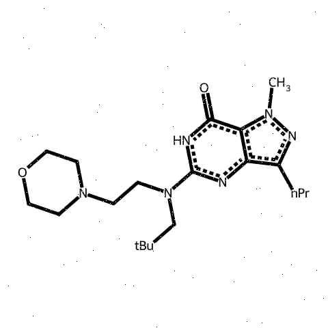 CCCc1nn(C)c2c(=O)[nH]c(N(CCN3CCOCC3)CC(C)(C)C)nc12